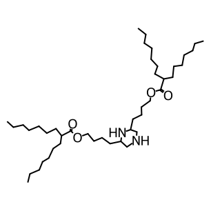 CCCCCCCC(CCCCCCC)C(=O)OCCCCC1CNCC(CCCCOC(=O)C(CCCCCCC)CCCCCCC)N1